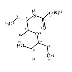 CCCCCCCC(=O)N[C@@H](CO)C(C)OC(CO)[C@H](C)O